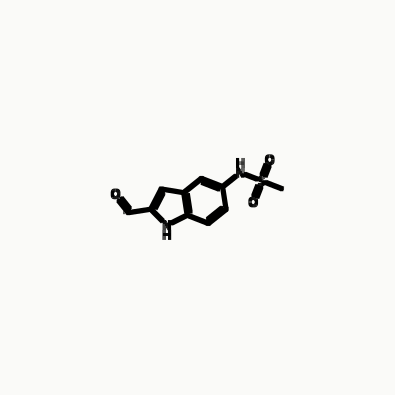 CS(=O)(=O)Nc1ccc2[nH]c([C]=O)cc2c1